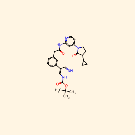 CC(C)(C)OC(=O)N/C=C(\C=N)c1cccc(CC(=O)Nc2cc(N3CC[C@@H](C4CC4)C3=O)ccn2)c1